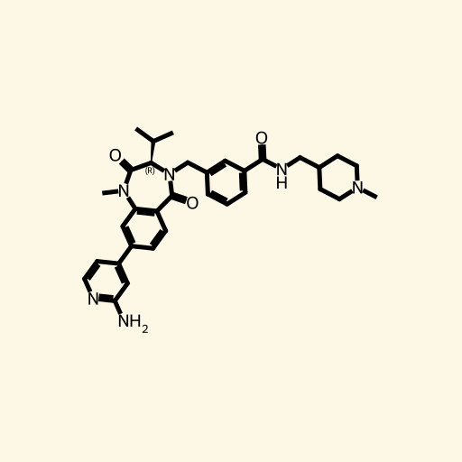 CC(C)[C@@H]1C(=O)N(C)c2cc(-c3ccnc(N)c3)ccc2C(=O)N1Cc1cccc(C(=O)NCC2CCN(C)CC2)c1